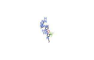 CCCCN(C)c1cc(NC(=O)Nc2ccc(C)c(Nc3cc(C)nn3-c3cc(NC)ncn3)c2)cc(C(F)(F)F)c1